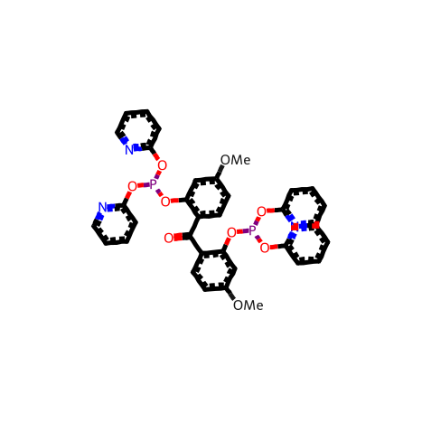 COc1ccc(C(=O)c2ccc(OC)cc2OP(Oc2ccccn2)Oc2ccccn2)c(OP(Oc2ccccn2)Oc2ccccn2)c1